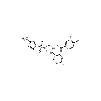 Cn1cnc(S(=O)(=O)N2C[C@H](CNc3ccc(F)c(Cl)c3)[C@@H](c3ccc(F)cc3)C2)c1